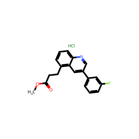 COC(=O)CCc1cccc2ncc(-c3cccc(F)c3)cc12.Cl